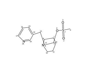 CS(=O)(=O)OC1C2CCN(CC2)C1Cc1cccnc1